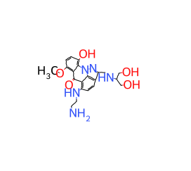 COc1ccc(O)c2c1c(=O)c1c(NCCN)ccc3c(CNC(CO)CO)nn2c31